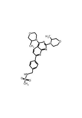 CC1COCCN1c1nc(N2CCOCC2C)c2ccc(-c3ccc(CNS(C)(=O)=O)cc3)nc2n1